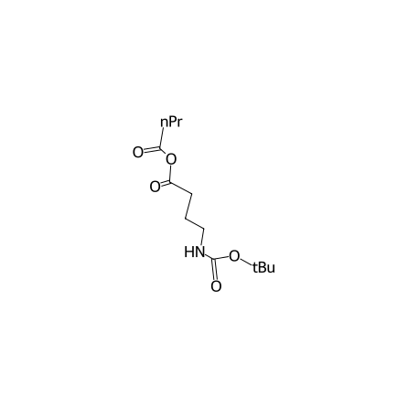 CCCC(=O)OC(=O)CCCNC(=O)OC(C)(C)C